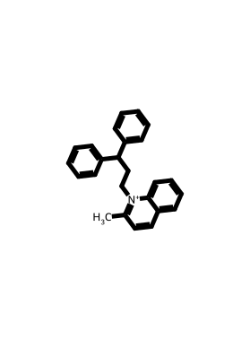 Cc1ccc2ccccc2[n+]1CCC(c1ccccc1)c1ccccc1